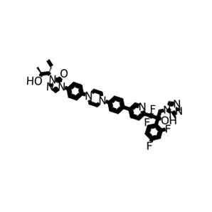 CC[C@@H]([C@H](C)O)n1ncn(-c2ccc(N3CCN(c4ccc(-c5ccc(C(F)(F)C(O)(Cn6cnnn6)c6ccc(F)cc6F)nc5)cc4)CC3)cc2)c1=O